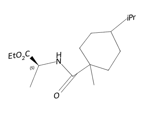 CCOC(=O)[C@H](C)NC(=O)C1(C)CCC(C(C)C)CC1